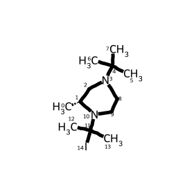 C[C@@H]1CN(C(C)(C)C)CCN1C(C)(C)I